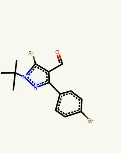 CC(C)(C)n1nc(-c2ccc(Br)cc2)c(C=O)c1Br